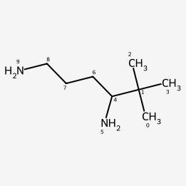 CC(C)(C)C(N)CCCN